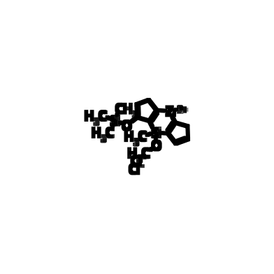 CO[Si]1(C)C2=[C](CC=C2)[Zr+2][C]2=C1C(O[Si](C)(C)C)=CC2.[Cl-].[Cl-]